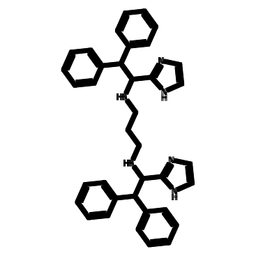 B(CCCBC(c1ncc[nH]1)C(c1ccccc1)c1ccccc1)C(c1ncc[nH]1)C(c1ccccc1)c1ccccc1